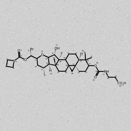 CC(C)[C@@H](OC(=O)N1CCC1)C1C[C@@H](C)[C@H]2C(O1)[C@H](O)[C@@]1(C)C3CC[C@H]4C(C)(C)C(OC(=O)NCCC(=O)O)CC[C@@]45C[C@@]35CC[C@]21C